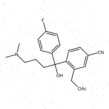 CC(=O)OCc1cc(C#N)ccc1C(O)(CCCN(C)C)c1ccc(F)cc1